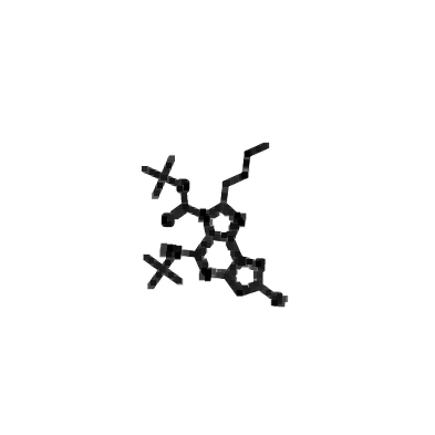 CCCCc1nc2c3sc(Br)cc3nc(NC(C)(C)C)c2n1C(=O)OC(C)(C)C